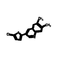 Cc1cc2cc(-c3ccc(Cl)s3)cnc2cc1C